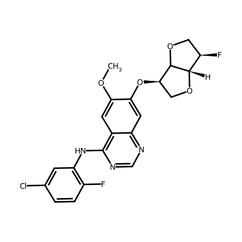 COc1cc2c(Nc3cc(Cl)ccc3F)ncnc2cc1O[C@@H]1CO[C@@H]2C1OC[C@H]2F